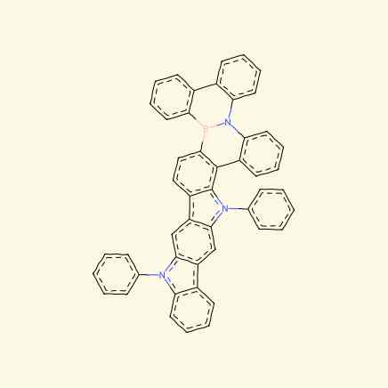 c1ccc(-n2c3ccccc3c3cc4c(cc32)c2ccc3c(c2n4-c2ccccc2)-c2ccccc2N2B3c3ccccc3-c3ccccc32)cc1